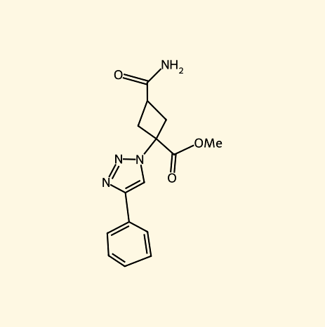 COC(=O)C1(n2cc(-c3ccccc3)nn2)CC(C(N)=O)C1